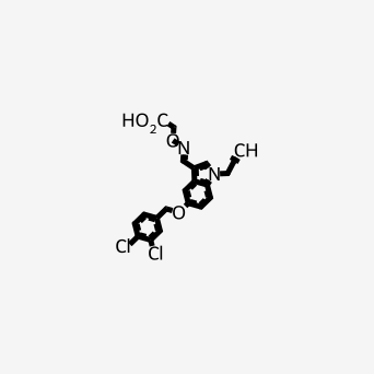 C#CCn1cc(C=NOCC(=O)O)c2cc(OCc3ccc(Cl)c(Cl)c3)ccc21